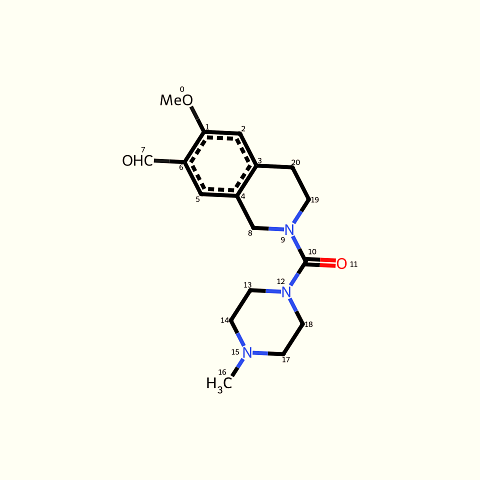 COc1cc2c(cc1C=O)CN(C(=O)N1CCN(C)CC1)CC2